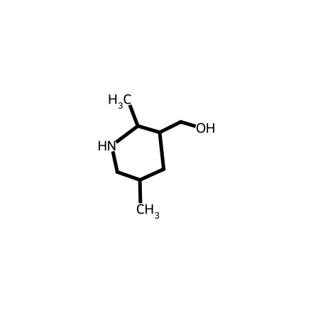 CC1CNC(C)C(CO)C1